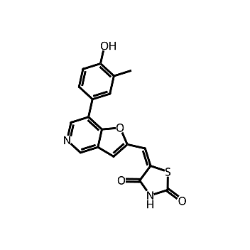 Cc1cc(-c2cncc3cc(C=C4SC(=O)NC4=O)oc23)ccc1O